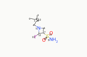 C[Si](C)(C)CN1CC(S(N)(=O)=O)C1I